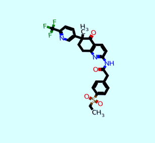 CCS(=O)(=O)c1ccc(CC(=O)Nc2ccc3c(n2)CCC(C)(c2ccc(C(F)(F)F)nc2)C3=O)cc1